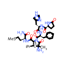 CSCC[C@H](NC(=O)[C@H](CC(C)C)N(C(=O)[C@H](Cc1ccccc1)NC(=O)[C@H](Cc1c[nH]cn1)NC(=O)[C@@H]1CCC(=O)N1)C(=O)C(C)(C)N)C(N)=O